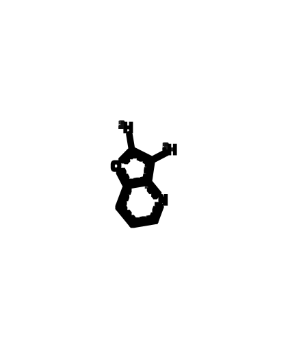 [2H]c1oc2cccnc2c1[2H]